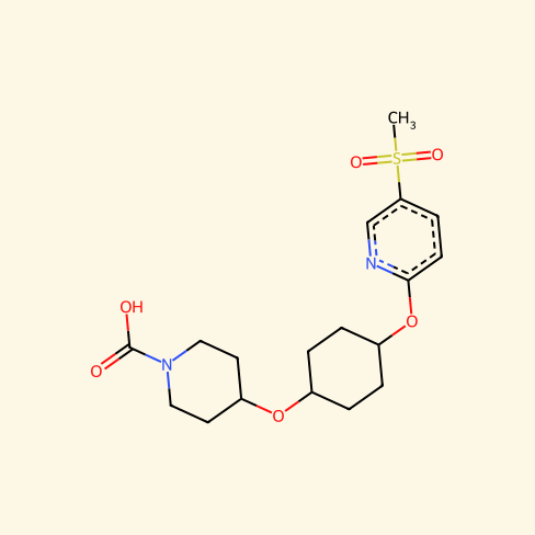 CS(=O)(=O)c1ccc(OC2CCC(OC3CCN(C(=O)O)CC3)CC2)nc1